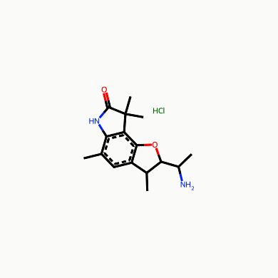 Cc1cc2c(c3c1NC(=O)C3(C)C)OC(C(C)N)C2C.Cl